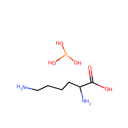 NCCCCC(N)C(=O)O.OP(O)O